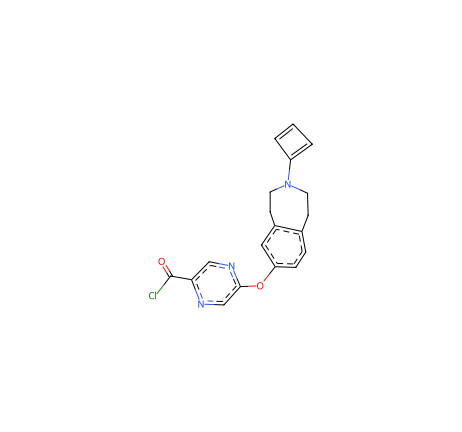 O=C(Cl)c1cnc(Oc2ccc3c(c2)CCN(C2=CC=C2)CC3)cn1